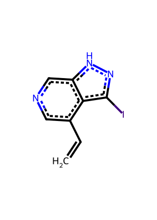 C=Cc1cncc2[nH]nc(I)c12